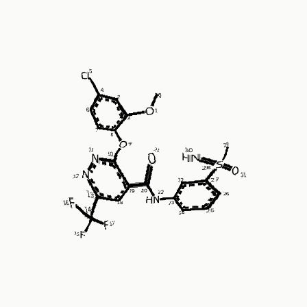 COc1cc(Cl)ccc1Oc1nnc(C(F)(F)F)cc1C(=O)Nc1cccc(S(C)(=N)=O)c1